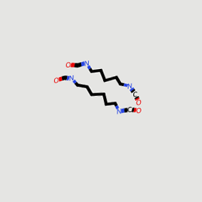 O=C=NCCCCCCN=C=O.O=C=NCCCCCN=C=O